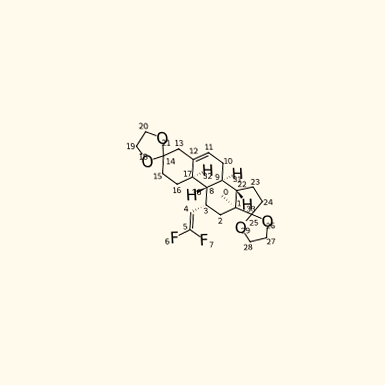 C[C@]12C[C@H](C=C(F)F)[C@H]3[C@@H](CC=C4CC5(CC[C@@H]43)OCCO5)[C@@H]1CCC21OCCO1